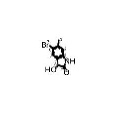 Cc1cc2c(cc1Br)C(O)C(=O)N2